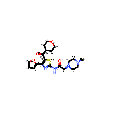 CC(C)N1CCN(CC(=O)Nc2nc(-c3ccco3)c(C(=O)C3CCOCC3)s2)CC1